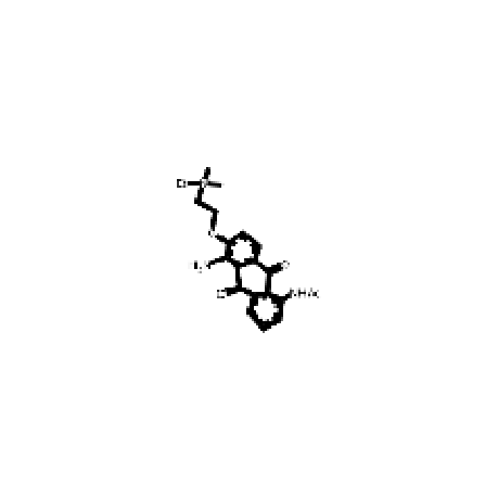 CC[N+](C)(C)CCOc1ccc2c(c1N)C(=O)c1cccc(NC(C)=O)c1C2=O